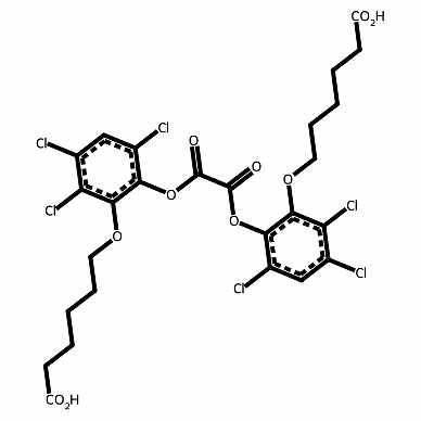 O=C(O)CCCCCOc1c(Cl)c(Cl)cc(Cl)c1OC(=O)C(=O)Oc1c(Cl)cc(Cl)c(Cl)c1OCCCCCC(=O)O